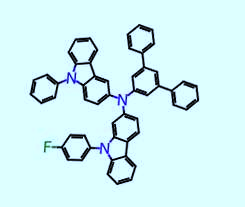 Fc1ccc(-n2c3ccccc3c3ccc(N(c4cc(-c5ccccc5)cc(-c5ccccc5)c4)c4ccc5c(c4)c4ccccc4n5-c4ccccc4)cc32)cc1